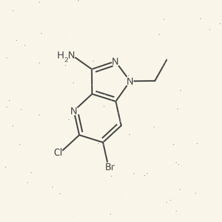 CCn1nc(N)c2nc(Cl)c(Br)cc21